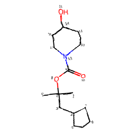 CC(C)(CC1CCC1)OC(=O)N1CCC(O)CC1